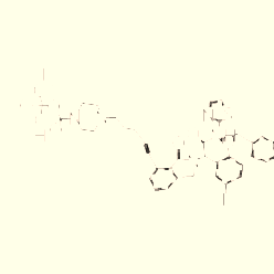 CC(C)(C)OC(=O)N1CCN(CCCC#Cc2cccc3c2C(=O)N(C(C(=O)Nc2nccs2)c2cc(F)ccc2OCc2ccccc2)C3)CC1